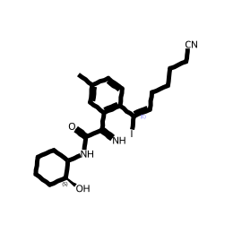 Cc1ccc(/C(I)=C\CCCCC#N)c(C(=N)C(=O)NC2CCCC[C@@H]2O)c1